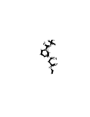 CCOC(=O)CC(O)[C@@H]1CCCN(C(=O)OC(C)(C)C)C1